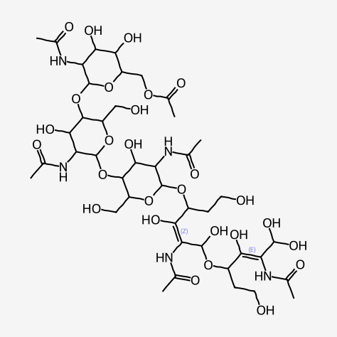 CC(=O)N/C(=C(\O)C(CCO)OC1OC(CO)C(OC2OC(CO)C(OC3OC(COC(C)=O)C(O)C(O)C3NC(C)=O)C(O)C2NC(C)=O)C(O)C1NC(C)=O)C(O)OC(CCO)/C(O)=C(\NC(C)=O)C(O)O